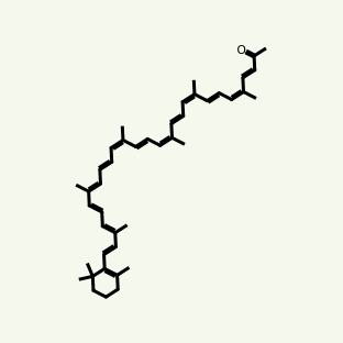 CC(=O)C=CC(C)=CC=CC(C)=CC=CC(C)=CC=CC(C)=CC=CC=C(C)C=CC=C(C)C=CC1=C(C)CCCC1(C)C